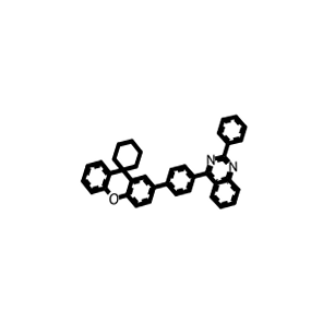 c1ccc(-c2nc(-c3ccc(-c4ccc5c(c4)C4(CCCCC4)c4ccccc4O5)cc3)c3ccccc3n2)cc1